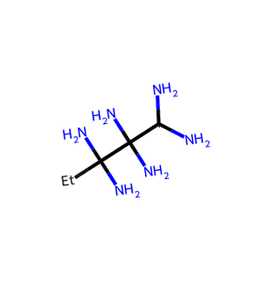 CCC(N)(N)C(N)(N)[C](N)N